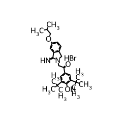 Br.CC(C)COc1ccc2c(c1)C(=N)N(CC(=O)c1cc(C(C)(C)C)c(O)c(C(C)(C)C)c1)C2